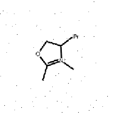 CC1=[N+](C)C(C(C)C)CO1